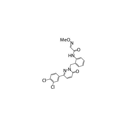 CON=CC(=O)Nc1ccccc1Cn1nc(-c2ccc(Cl)c(Cl)c2)ccc1=O